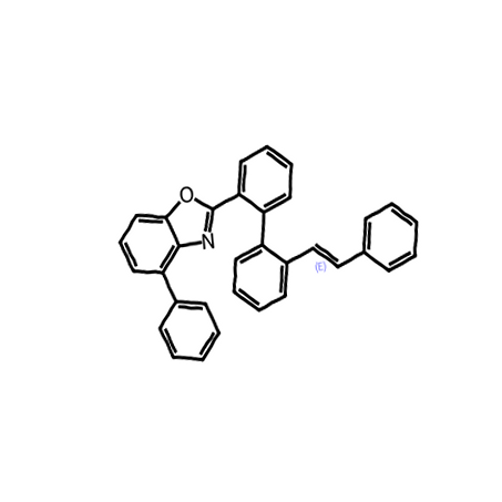 C(=C\c1ccccc1-c1ccccc1-c1nc2c(-c3ccccc3)cccc2o1)/c1ccccc1